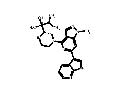 CC(C)[C@@](C)(O)[C@@H]1CN(c2nc(-c3c[nH]c4ncccc34)cc3c2cnn3C)CCN1